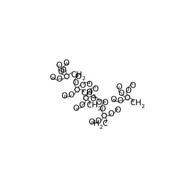 C=Cc1c(COCC2CO2)cc(COCC2CO2)cc1COCC1CO1.C=Cc1c(COCC2CO2)ccc(COCC2CO2)c1COCC1CO1.C=Cc1cc(COCC2CO2)c(COCC2CO2)c(COCC2CO2)c1.C=Cc1cc(COCC2CO2)cc(COCC2CO2)c1COCC1CO1.C=Cc1ccc(COCC2CO2)c(COCC2CO2)c1COCC1CO1